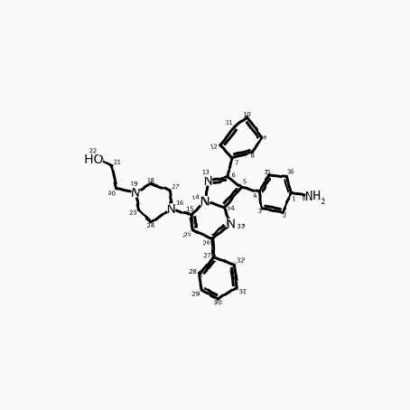 Nc1ccc(-c2c(-c3ccccc3)nn3c(N4CCN(CCO)CC4)cc(-c4ccccc4)nc23)cc1